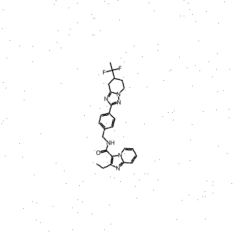 CCc1nc2ccccn2c1C(=O)NCc1ccc(-c2nc3n(n2)CCC(C(C)(F)F)C3)cc1